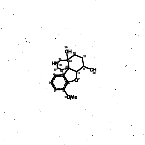 COc1cccc2c1OC1C(O)CCC3(O)CNCCC213